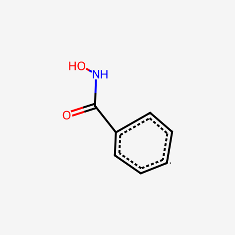 O=C(NO)c1cc[c]cc1